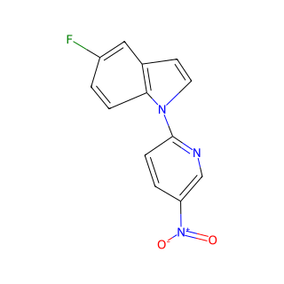 O=[N+]([O-])c1ccc(-n2ccc3cc(F)ccc32)nc1